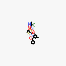 Cc1cc(C)c(NC(=O)c2sccc2S(=O)(=O)Nc2onc(C)c2Cl)c(C(=O)c2ccccc2)c1